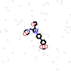 c1coc(-c2nn(-c3ccc(-c4ccc5c(c4)OCCO5)cc3)cc2CN2CCOCC2)c1